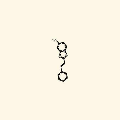 Nc1ccc2nc(C=Cc3ccccc3)oc2c1